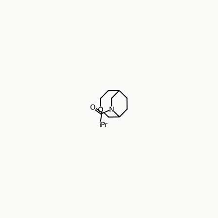 CC(C)C(=O)N1CC2CCOCC1CC2